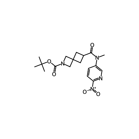 CN(C(=O)C1CC2(C1)CN(C(=O)OC(C)(C)C)C2)c1ccc([N+](=O)[O-])nc1